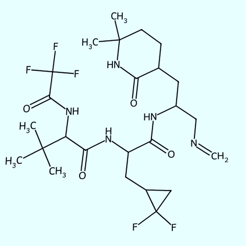 C=NCC(CC1CCC(C)(C)NC1=O)NC(=O)C(CC1CC1(F)F)NC(=O)C(NC(=O)C(F)(F)F)C(C)(C)C